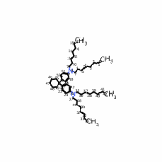 CCCCCCCCN(CCCCCCCC)c1ccc(C2(c3ccc(N(CCCCCCCC)CCCCCCCC)cc3)CCCCC2)cc1